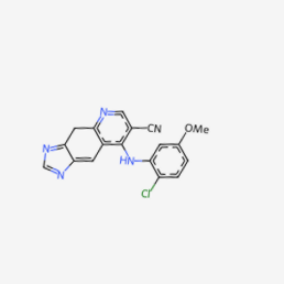 COc1ccc(Cl)c(Nc2c(C#N)cnc3c2C=C2N=CN=C2C3)c1